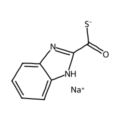 O=C([S-])c1nc2ccccc2[nH]1.[Na+]